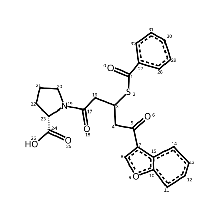 O=C(SC(CC(=O)c1coc2ccccc12)CC(=O)N1CCC[C@H]1C(=O)O)c1ccccc1